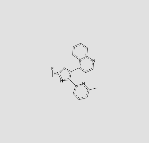 CF.Cc1cccc(-c2n[nH]cc2-c2ccnc3ccccc23)n1